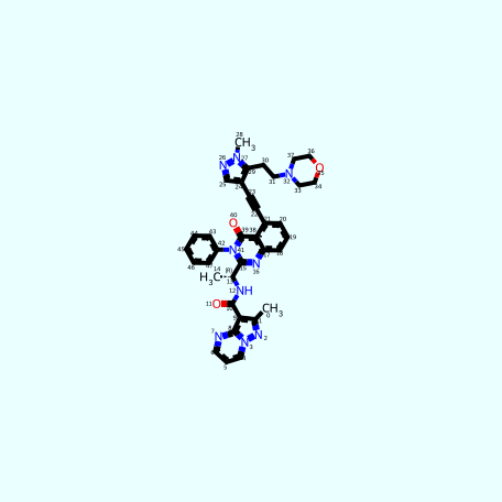 Cc1nn2cccnc2c1C(=O)N[C@H](C)c1nc2cccc(C#Cc3cnn(C)c3CCN3CCOCC3)c2c(=O)n1-c1ccccc1